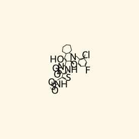 CS(=O)(=O)NCc1csc2c1S(=O)(=O)N=C(C1=C(O)C3CCCCCC3N(Cc3ccc(F)cc3Cl)C1=O)N2